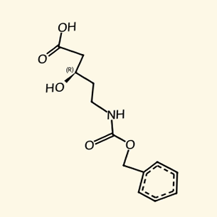 O=C(O)C[C@H](O)CCNC(=O)OCc1ccccc1